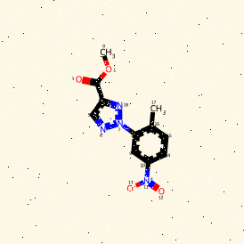 COC(=O)c1cnn(-c2cc([N+](=O)[O-])ccc2C)n1